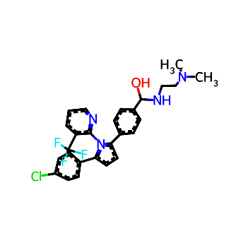 CN(C)CCNC(O)c1ccc(-c2ccc(-c3ccc(Cl)cc3)n2-c2ncccc2C(F)(F)F)cc1